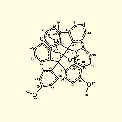 COOC(OC)(C(c1ccccc1)(c1ccc(OC)cc1)c1ccc(OC)cc1)C(c1ccccc1)(c1ccccc1)c1ccccc1OC